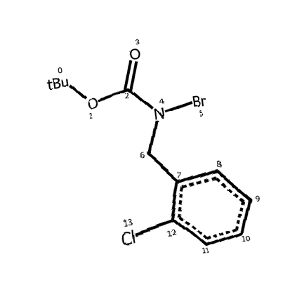 CC(C)(C)OC(=O)N(Br)Cc1ccccc1Cl